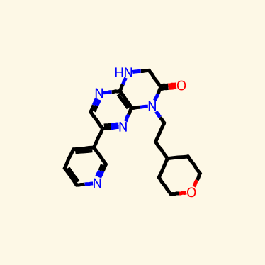 O=C1CNc2ncc(-c3cccnc3)nc2N1CCC1CCOCC1